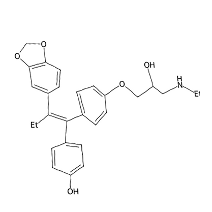 CCNCC(O)COc1ccc(/C(=C(/CC)c2ccc3c(c2)OCO3)c2ccc(O)cc2)cc1